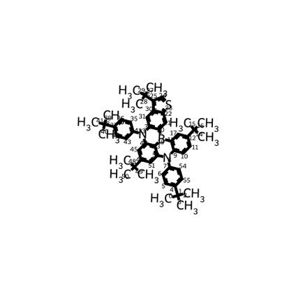 CC(C)(C)c1ccc(N2c3ccc(C(C)(C)C)cc3B3c4cc5scc(C(C)(C)C)c5cc4N(c4ccc(C(C)(C)C)cc4)c4cc(C(C)(C)C)cc2c43)cc1